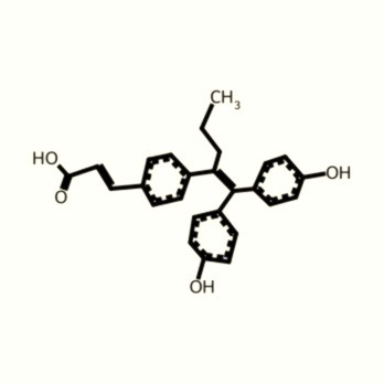 CCCC(=C(c1ccc(O)cc1)c1ccc(O)cc1)c1ccc(C=CC(=O)O)cc1